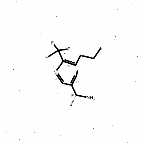 C\C=C(/C=N\C(=C\CCC)C(F)(F)F)[C@@H](C)N